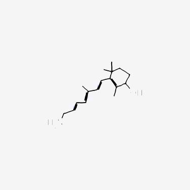 CC1=C(/C=C/C(C)=C/C=C/CN)C(C)(C)CCC1O